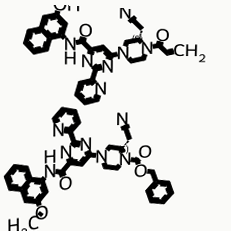 C=CC(=O)N1CCN(c2cc(C(=O)Nc3cc(O)cc4ccccc34)nc(-c3ccccn3)n2)C[C@@H]1CC#N.COc1cc(NC(=O)c2cc(N3CCN(C(=O)OCc4ccccc4)[C@@H](CC#N)C3)nc(-c3ccccn3)n2)c2ccccc2c1